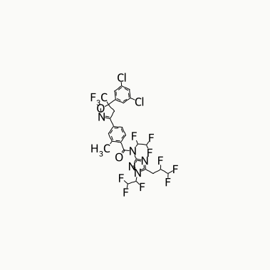 Cc1cc(C2=NOC(c3cc(Cl)cc(Cl)c3)(C(F)(F)F)C2)ccc1C(=O)N(c1nc(CC(F)C(F)F)n(C(F)C(F)F)n1)C(F)C(F)F